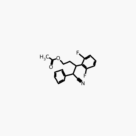 CC(=O)OCCC(c1c(F)cccc1F)C(C#N)c1ccccc1